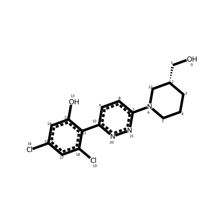 OC[C@@H]1CCCN(c2ccc(-c3c(O)cc(Cl)cc3Cl)nn2)C1